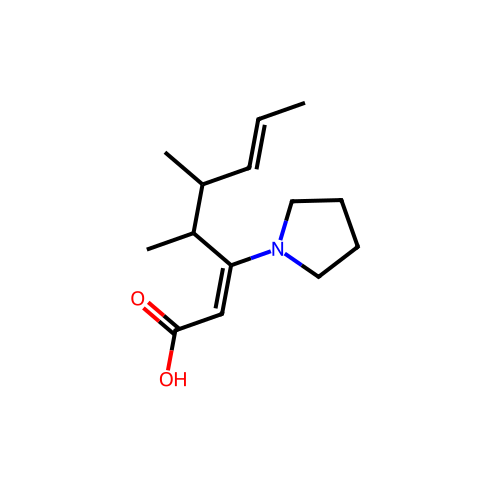 CC=CC(C)C(C)C(=CC(=O)O)N1CCCC1